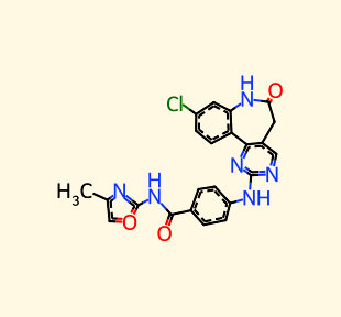 Cc1coc(NC(=O)c2ccc(Nc3ncc4c(n3)-c3ccc(Cl)cc3NC(=O)C4)cc2)n1